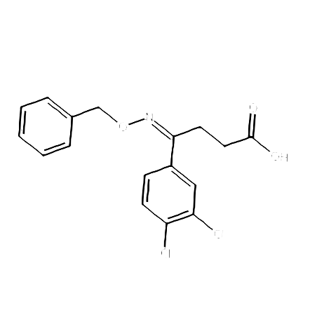 O=C(O)CC/C(=N/OCc1ccccc1)c1ccc(Cl)c(Cl)c1